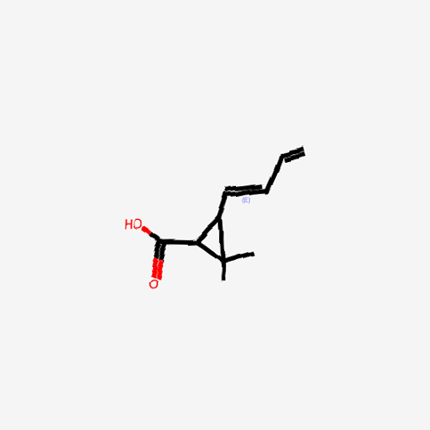 C=C/C=C/C1C(C(=O)O)C1(C)C